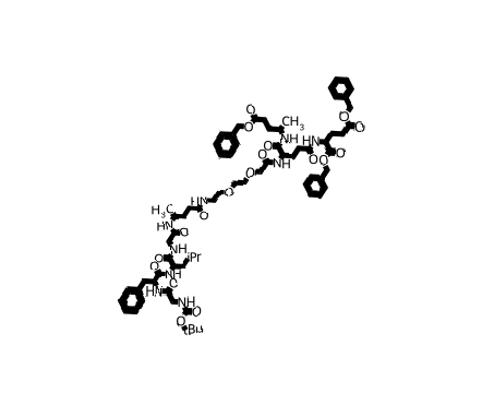 CC(C)CC(NC(=O)C(Cc1ccccc1)NC(=O)CNC(=O)OC(C)(C)C)C(=O)NCC(=O)NC(C)CCC(=O)NCCOCCOCC(=O)NC(CCC(=O)NC(CCC(=O)OCc1ccccc1)C(=O)OCc1ccccc1)C(=O)NC(C)CCC(=O)OCc1ccccc1